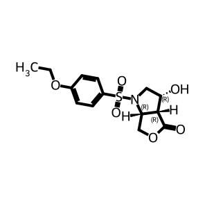 CCOc1ccc(S(=O)(=O)N2C[C@H](O)[C@@H]3C(=O)OC[C@@H]32)cc1